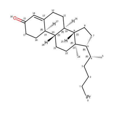 CC(C)CCC[C@@H](C)[C@H]1CC[C@H]2[C@@H]3CCC4=CC(=O)CC[C@@H]4[C@H]3CC[C@]12C